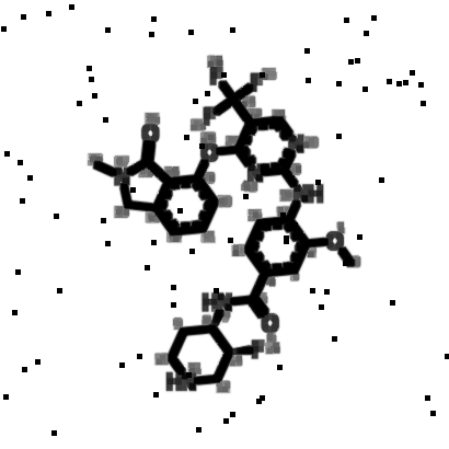 COc1cc(C(=O)N[C@@H]2CCNC[C@@H]2F)ccc1Nc1ncc(C(F)(F)F)c(Oc2cccc3c2C(=O)N(C)C3)n1